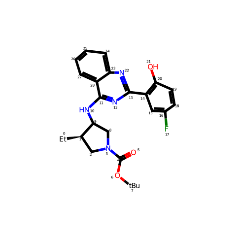 CC[C@@H]1CN(C(=O)OC(C)(C)C)CC1Nc1nc(-c2cc(F)ccc2O)nc2ccccc12